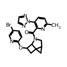 Cc1ccc(-n2nccn2)c(C(=O)N2CC3CC34CC(Oc3ccc(Br)cn3)C24)n1